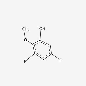 COc1c(O)cc(F)cc1F